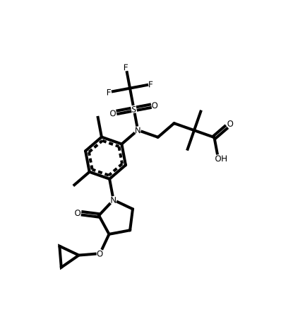 Cc1cc(C)c(N(CCC(C)(C)C(=O)O)S(=O)(=O)C(F)(F)F)cc1N1CCC(OC2CC2)C1=O